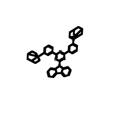 c1cc(-c2nc(-c3cccc(N4C5CC6CC(C5)CC4C6)c3)nc(-n3c4ccccc4c4ccccc43)n2)cc(N2C3CC4CC(C3)CC2C4)c1